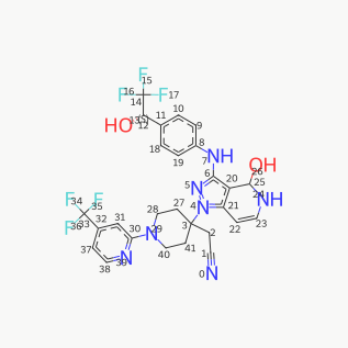 N#CCC1(n2nc(Nc3ccc([C@H](O)C(F)(F)F)cc3)c3c2C=CNC3O)CCN(c2cc(C(F)(F)F)ccn2)CC1